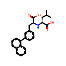 CC(C)C[C@H](NC(Cc1cccc(-c2cccc3ccccc23)c1)C(=O)O)C(=O)O